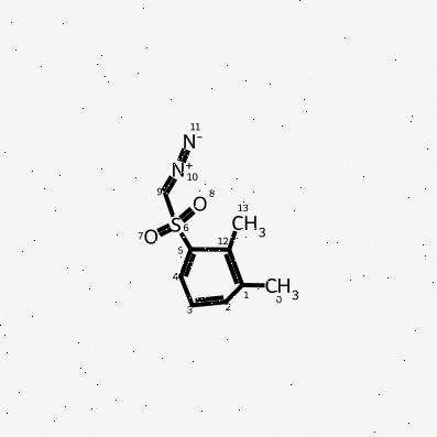 Cc1cccc(S(=O)(=O)C=[N+]=[N-])c1C